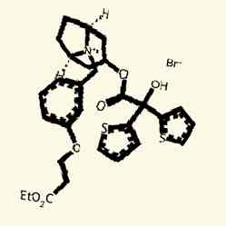 CCOC(=O)CCOc1cccc(C[N+]2(C)[C@@H]3CC[C@H]2CC(OC(=O)C(O)(c2cccs2)c2cccs2)C3)c1.[Br-]